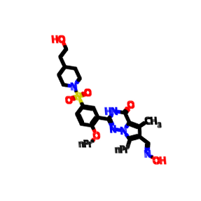 CCCOc1ccc(S(=O)(=O)N2CCC(CCO)CC2)cc1-c1nn2c(CCC)c(/C=N/O)c(C)c2c(=O)[nH]1